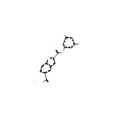 COC(=O)c1ccc2[nH]c(C(=O)Nc3cc(C(F)(F)F)cc(C(F)(F)F)c3)cc2c1